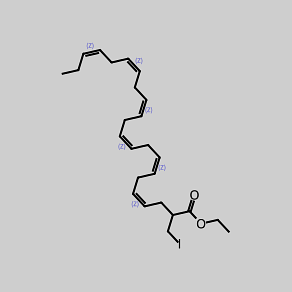 CC/C=C\C/C=C\C/C=C\C/C=C\C/C=C\C/C=C\CC(CI)C(=O)OCC